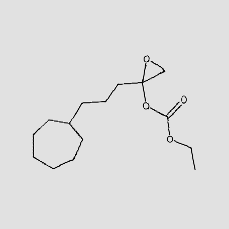 CCOC(=O)OC1(CCCC2CCCCCC2)CO1